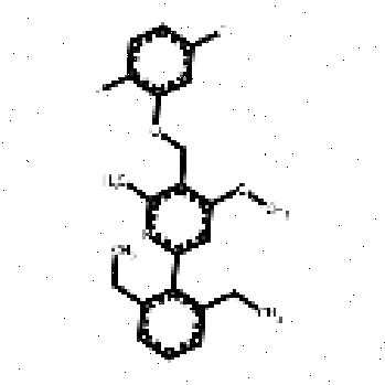 CCc1cccc(CC)c1-c1cc(OC)c(COc2cc(F)ccc2F)c(C)n1